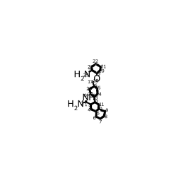 N=C(N)c1cc2ccccc2cc1-c1ccc(COc2ccccc2N)cc1